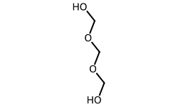 OCOCOCO